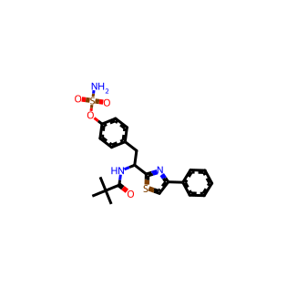 CC(C)(C)C(=O)NC(Cc1ccc(OS(N)(=O)=O)cc1)c1nc(-c2ccccc2)cs1